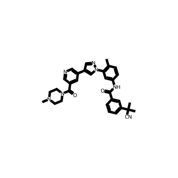 Cc1ccc(NC(=O)c2cccc(C(C)(C)C#N)c2)cc1-n1cc(-c2cncc(C(=O)N3CCN(C)CC3)c2)cn1